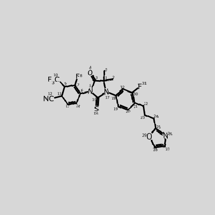 CC1(C)C(=O)N(C2=C(F)C(C(F)(F)F)C(C#N)C=C2)C(=S)N1c1ccc(CCCc2ncco2)c(F)c1